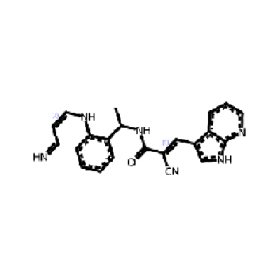 CC(NC(=O)/C(C#N)=C/c1c[nH]c2ncccc12)c1ccccc1N/C=C\C=N